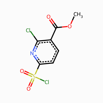 COC(=O)c1ccc(S(=O)(=O)Cl)nc1Cl